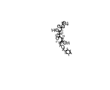 C[C@@H](COCc1ccccc1)[C@H](O)[C@@H](C)C(=O)C(C)(C)[C@@H](O)CC(=O)OC(C)(C)C